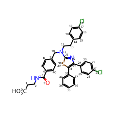 O=C(O)CCNC(=O)c1ccc(CN(CCc2ccc(Cl)cc2)c2nc(-c3ccc(Cl)cc3)c(-c3ccccc3)s2)cc1